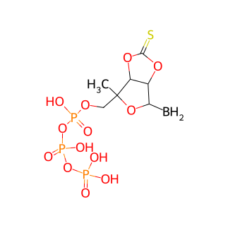 BC1OC(C)(COP(=O)(O)OP(=O)(O)OP(=O)(O)O)C2OC(=S)OC12